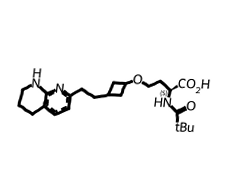 CC(C)(C)C(=O)N[C@@H](CCOC1CC(CCc2ccc3c(n2)NCCC3)C1)C(=O)O